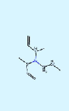 C=C[SiH](C)N([SiH2][SiH2]C)[SiH](C)C=C